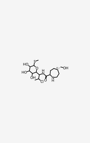 CSC1OC(C(NC(=O)C2CC[C@H](CO)CCN2)C(C)Cl)C(O)C(O)C1O